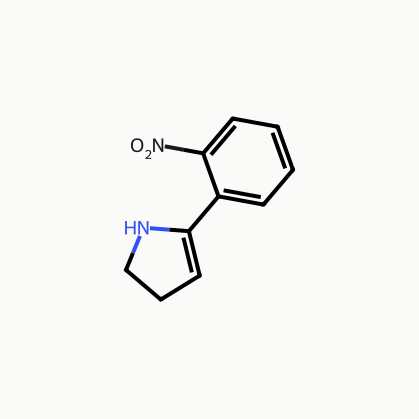 O=[N+]([O-])c1ccccc1C1=CCCN1